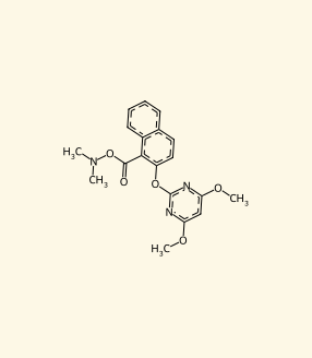 COc1cc(OC)nc(Oc2ccc3ccccc3c2C(=O)ON(C)C)n1